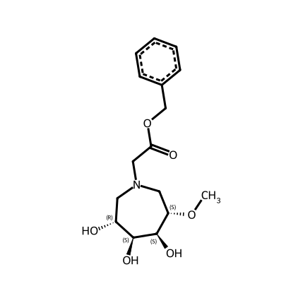 CO[C@H]1CN(CC(=O)OCc2ccccc2)C[C@@H](O)[C@H](O)[C@@H]1O